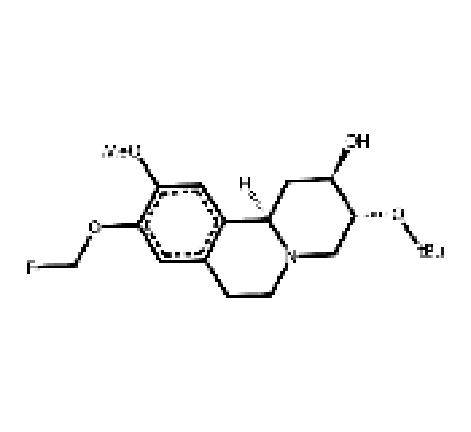 COc1cc2c(cc1OCF)CCN1C[C@@H](OC(C)(C)C)[C@H](O)C[C@H]21